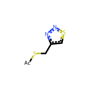 CC(=O)SCc1csnn1